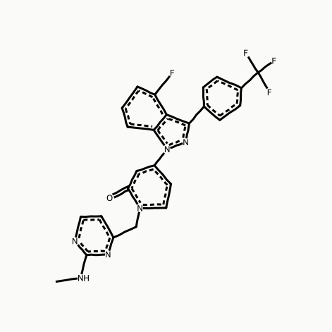 CNc1nccc(Cn2ccc(-n3nc(-c4ccc(C(F)(F)F)cc4)c4c(F)cccc43)cc2=O)n1